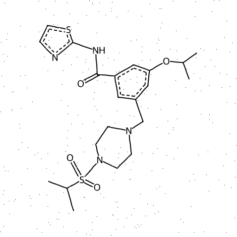 CC(C)Oc1cc(CN2CCN(S(=O)(=O)C(C)C)CC2)cc(C(=O)Nc2nccs2)c1